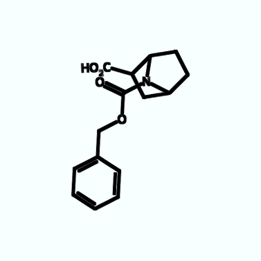 O=C(O)C1CC2CCC1N2C(=O)OCc1ccccc1